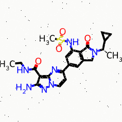 CCNC(=O)c1c(N)nn2ccc(-c3cc4c(c(NS(C)(=O)=O)c3)C(=O)N([C@@H](C)C3CC3)C4)nc12